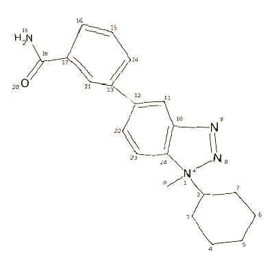 C[N+]1(C2CCCCC2)N=Nc2cc(-c3cccc(C(N)=O)c3)ccc21